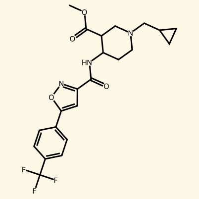 COC(=O)C1CN(CC2CC2)CCC1NC(=O)c1cc(-c2ccc(C(F)(F)F)cc2)on1